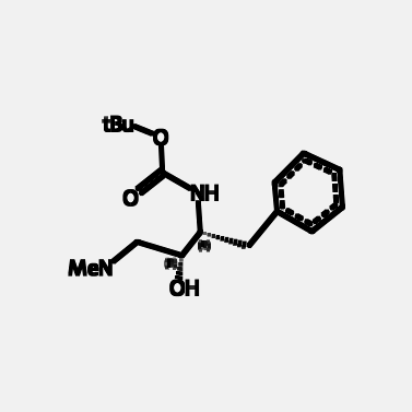 CNC[C@@H](O)[C@@H](Cc1ccccc1)NC(=O)OC(C)(C)C